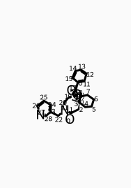 O=C1C[C@@]2(CCCC[C@@H]2Cc2ccccc2)S(=O)(=O)CCN1Cc1cccnc1